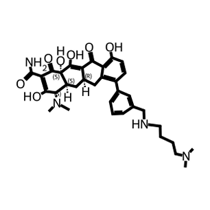 CN(C)CCCCNCc1cccc(-c2ccc(O)c3c2C[C@H]2C[C@H]4[C@H](N(C)C)C(O)=C(C(N)=O)C(=O)[C@@]4(O)C(O)=C2C3=O)c1